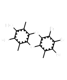 Cc1c(O)c(O)c(C)c2c1Oc1c(C)c(Br)c(Br)c(Br)c1O2